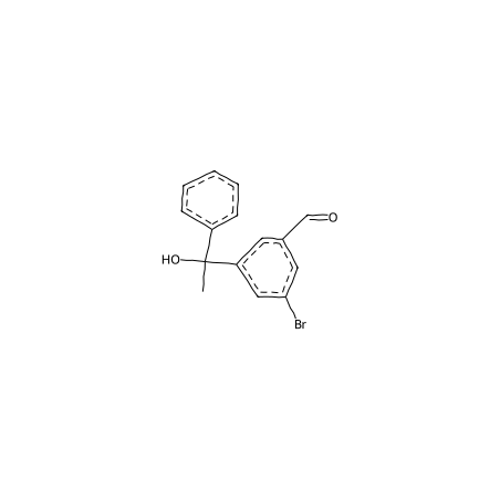 CC(O)(c1ccccc1)c1cc(Br)cc(C=O)c1